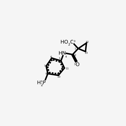 O=C(O)C1(C(=O)Nc2ccc(P)cc2)CC1